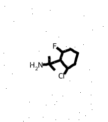 CC(C)(N)C1C(F)CCCC1Cl